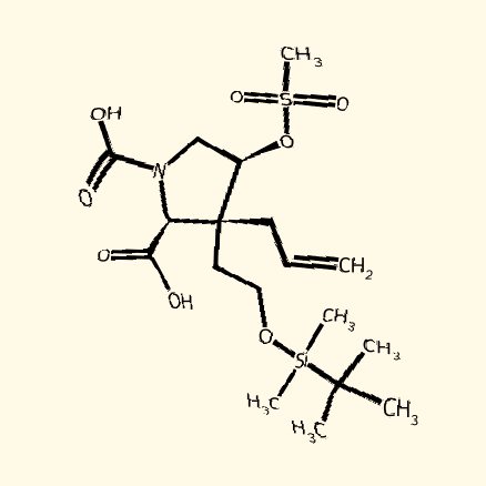 C=CC[C@]1(CCO[Si](C)(C)C(C)(C)C)[C@H](OS(C)(=O)=O)CN(C(=O)O)[C@@H]1C(=O)O